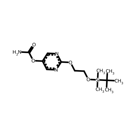 CC(C)(C)[Si](C)(C)OCCOc1ncc(OC(N)=O)cn1